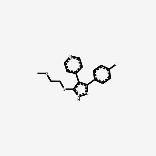 COCCSc1[nH]nc(-c2ccc(Cl)cc2)c1-c1ccncc1